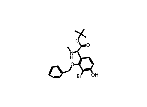 CNC(C(=O)OC(C)(C)C)c1ccc(O)c(Br)c1OCc1ccccc1